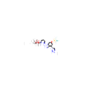 Cn1ccc(-c2cc(OS(=O)(=O)C(F)(F)F)cc3c2cnn3-c2cccc(CO[Si](C)(C)C(C)(C)C)n2)n1